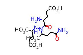 NC(=O)CC[C@@H](C(=O)O)N(N[C@@H](CCC(=O)O)C(=O)O)C(=O)[C@@H](N)CCC(=O)O